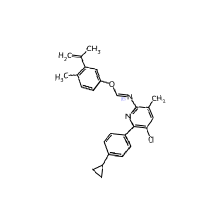 C=C(C)c1cc(O/C=N/c2nc(-c3ccc(C4CC4)cc3)c(Cl)cc2C)ccc1C